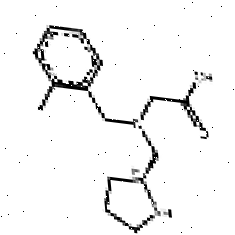 Cc1ccccc1CN(CC(=O)O)C[C@@H]1CCCN1